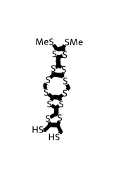 CSC1=C(SC)SC(=C2SC3=C(SCSC4=C(SCS3)SC(=C3SC(CS)=C(CS)S3)S4)S2)S1